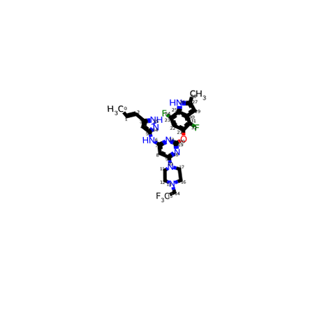 C/C=C/c1cc(Nc2cc(N3CCN(CC(F)(F)F)CC3)nc(Oc3cc(F)c4[nH]c(C)cc4c3F)n2)n[nH]1